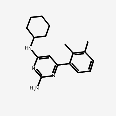 Cc1cccc(-c2cc(NC3CCCCC3)nc(N)n2)c1C